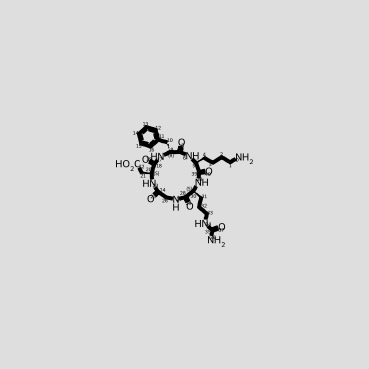 NCCCC[C@@H]1NC(=O)[C@@H](Cc2ccccc2)NC(=O)[C@H](CC(=O)O)NC(=O)CNC(=O)[C@H](CCCNC(N)=O)NC1=O